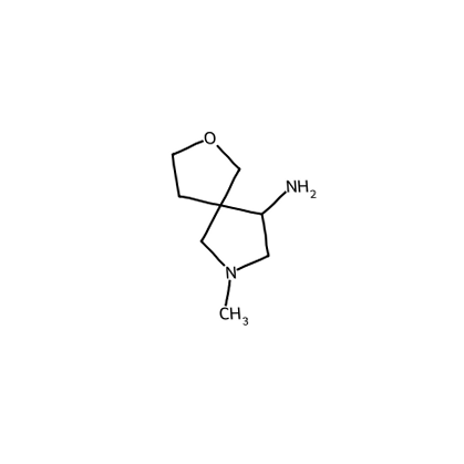 CN1CC(N)C2(CCOC2)C1